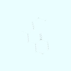 C=C/C=C\CC(C)C(O)C1C(=O)CCCN1C